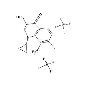 F[B-](F)(F)F.F[B-](F)(F)F.O=Cc1cn(C2CC2)c2c(C(F)(F)F)c(F)ccc2c1=O